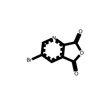 O=C1OC(=O)c2ncc(Br)cc21